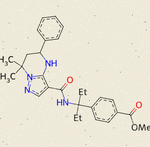 CCC(CC)(NC(=O)c1cnn2c1NC(c1ccccc1)CC2(C)C)c1ccc(C(=O)OC)cc1